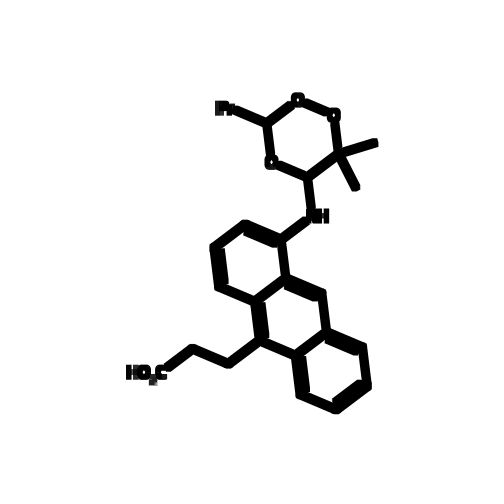 CC(C)C1OOC(C)(C)C(Nc2cccc3c(CCC(=O)O)c4ccccc4cc23)O1